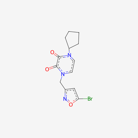 O=c1c(=O)n(C2CCCC2)ccn1Cc1cc(Br)on1